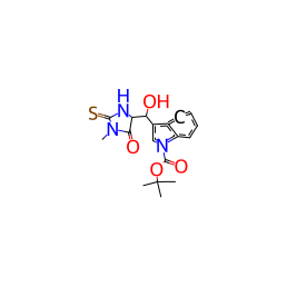 CN1C(=O)C(C(O)c2cn(C(=O)OC(C)(C)C)c3ccccc23)NC1=S